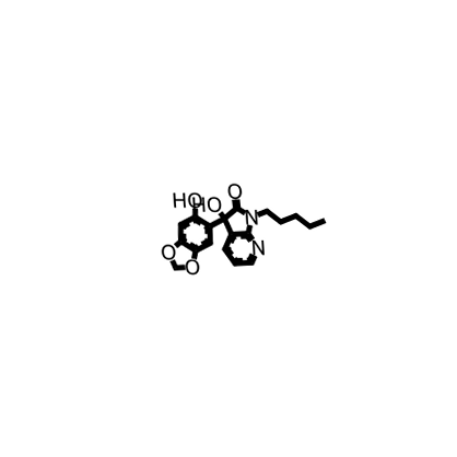 CCCCCN1C(=O)C(O)(c2cc3c(cc2O)OCO3)c2cccnc21